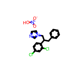 Clc1ccc(C(Cc2ccccc2)Cn2ccnc2)c(Cl)c1.O=[N+]([O-])O